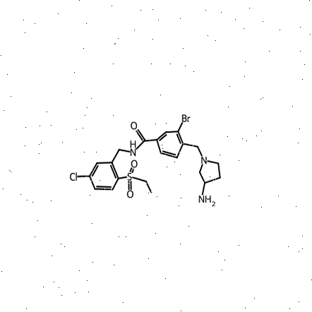 CCS(=O)(=O)c1ccc(Cl)cc1CNC(=O)c1ccc(CN2CCC(N)C2)c(Br)c1